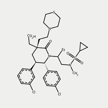 CCC(CN(C)S(=O)(=O)C1CC1)N1C(=O)[C@@](CCN2CCSCC2)(CC(=O)O)C[C@H](c2cccc(Cl)c2)[C@H]1c1ccc(Cl)cc1